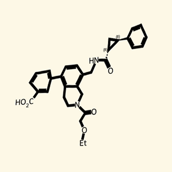 CCOCC(=O)N1CCc2c(-c3cccc(C(=O)O)c3)ccc(CNC(=O)[C@@H]3C[C@H]3c3ccccc3)c2C1